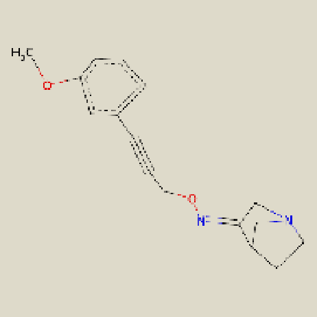 COc1cccc(C#CCON=C2CN3CCC2C3)c1